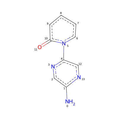 Nc1cnc(-n2ccccc2=O)cn1